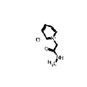 CNC(=O)C[n+]1ccccc1.[Cl-]